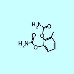 Cc1cccc(OC(N)=O)c1OC(N)=O